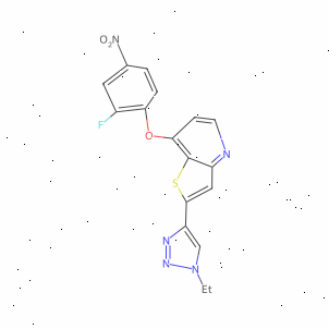 CCn1cc(-c2cc3nccc(Oc4ccc([N+](=O)[O-])cc4F)c3s2)nn1